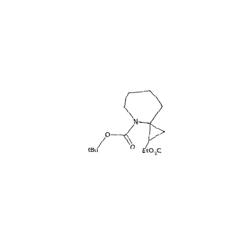 CCOC(=O)C1CC12CCCCN2C(=O)OC(C)(C)C